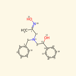 CC(CN(Cc1ccccc1)CC(O)c1ccccc1)=NO